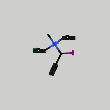 C#CC(I)[N+](C)(CCCCCCCCCC)CCCCCCCCCC.[Cl-]